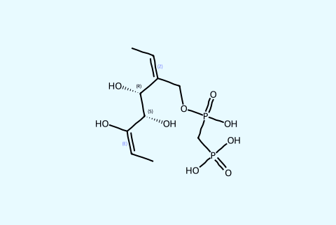 C/C=C(/COP(=O)(O)CP(=O)(O)O)[C@@H](O)[C@H](O)/C(O)=C\C